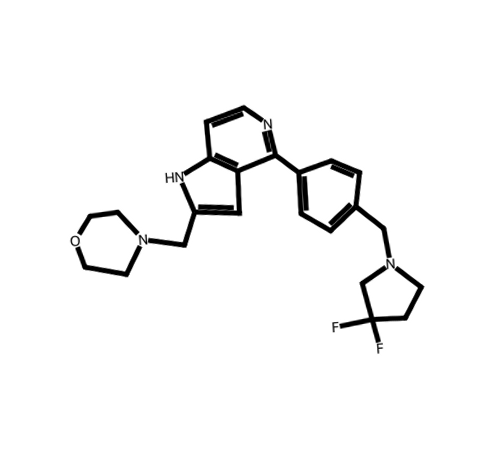 FC1(F)CCN(Cc2ccc(-c3nccc4[nH]c(CN5CCOCC5)cc34)cc2)C1